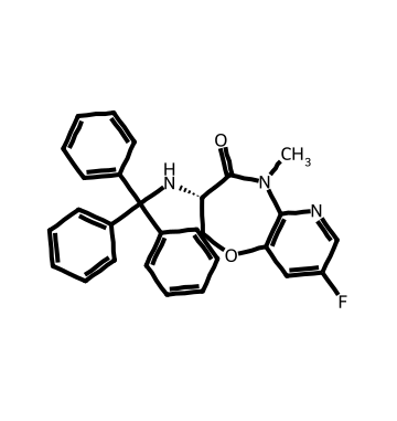 CN1C(=O)[C@@H](NC(c2ccccc2)(c2ccccc2)c2ccccc2)COc2cc(F)cnc21